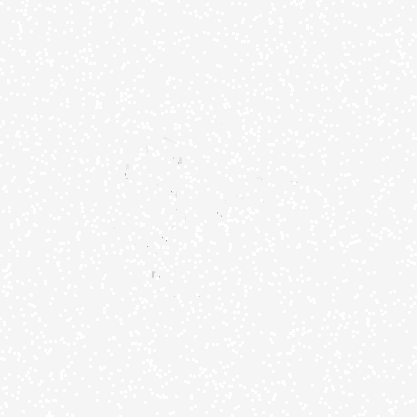 CC[C@@H]1O[C@@H]2C=C([C@H]1NC(=O)OC(C)(C)C(F)(F)F)N1C[C@H](Oc3nccc4cc(OC)c(F)cc34)C[C@H]1C(=O)N[C@]1(C(=O)NS(=O)(=O)C3(CF)CC3)C[C@H]1/C=C\CC2